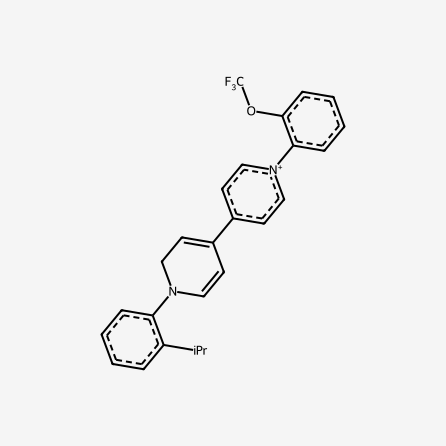 CC(C)c1ccccc1N1C=CC(c2cc[n+](-c3ccccc3OC(F)(F)F)cc2)=CC1